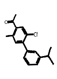 CC(=O)c1cc(Cl)c(-c2cccc(C(C)C)c2)cc1C